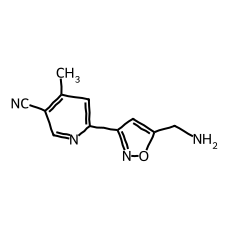 Cc1cc(-c2cc(CN)on2)ncc1C#N